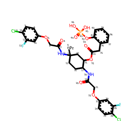 CCCC1(NC(=O)COc2ccc(Cl)c(F)c2)CCC(NC(=O)COc2ccc(Cl)c(F)c2)C(OC(=O)Cc2ccccc2OP(=O)(O)O)C1